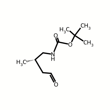 C[C@@H](CC=O)CNC(=O)OC(C)(C)C